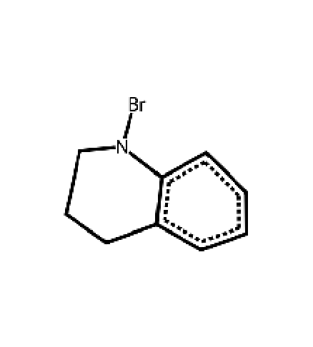 BrN1CCCc2ccccc21